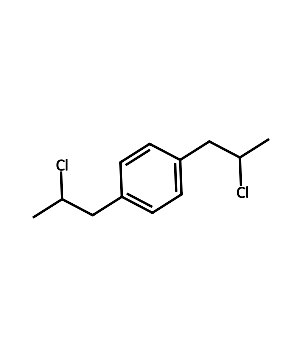 CC(Cl)Cc1ccc(CC(C)Cl)cc1